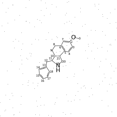 COc1ccc2c(c1)CCC1C(Cc3ccccc3)NCC21